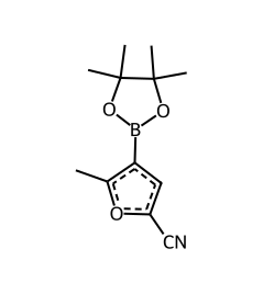 Cc1oc(C#N)cc1B1OC(C)(C)C(C)(C)O1